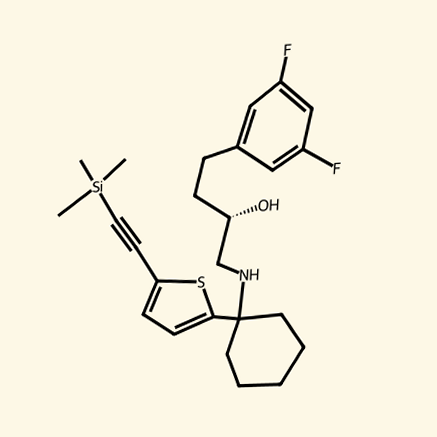 C[Si](C)(C)C#Cc1ccc(C2(NC[C@@H](O)CCc3cc(F)cc(F)c3)CCCCC2)s1